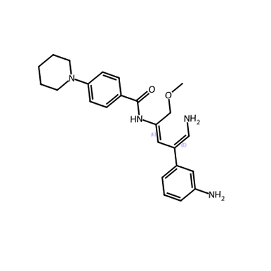 COC/C(=C\C(=C/N)c1cccc(N)c1)NC(=O)c1ccc(N2CCCCC2)cc1